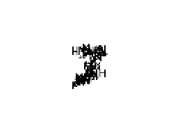 CO[C@H]1C[C@@H](c2nc(Nc3cc(C)[nH]n3)c3cnn(C)c3n2)CC[C@@H]1C(=O)N[C@@H](C)c1ccc(-n2cc(F)cn2)nc1